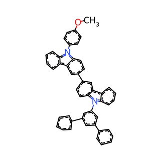 COc1ccc(-n2c3ccccc3c3cc(-c4ccc5c(c4)c4ccccc4n5-c4cc(-c5ccccc5)cc(-c5ccccc5)c4)ccc32)cc1